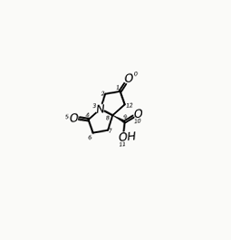 O=C1CN2C(=O)CC[C@@]2(C(=O)O)C1